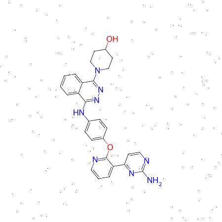 Nc1nccc(-c2cccnc2Oc2ccc(Nc3nnc(N4CCC(O)CC4)c4ccccc34)cc2)n1